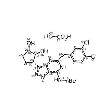 CCCCNc1nc(Sc2ccc(Cl)c(Cl)c2)nc2c1nnn2[C@@H]1CC[C@@H](O)[C@H]1O.O=C(O)O